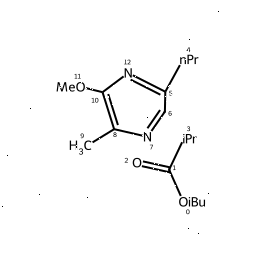 CC(C)COC(=O)C(C)C.CCCc1cnc(C)c(OC)n1